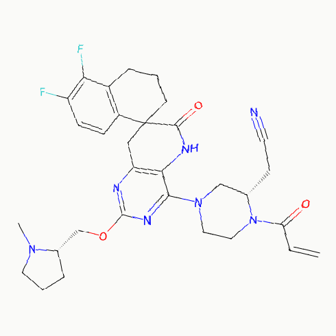 C=CC(=O)N1CCN(c2nc(OC[C@@H]3CCCN3C)nc3c2NC(=O)C2(CCCc4c2ccc(F)c4F)C3)C[C@@H]1CC#N